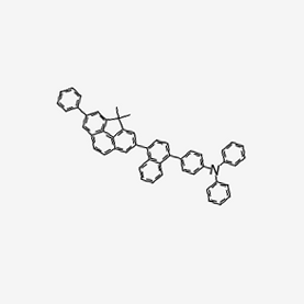 CC1(C)c2cc(-c3ccccc3)cc3ccc4cc(-c5ccc(-c6ccc(N(c7ccccc7)c7ccccc7)cc6)c6ccccc56)cc1c4c23